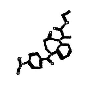 CCOC(=O)C(C)N1C(=O)CCN(C(=O)c2ccc([N+](=O)[O-])cc2)c2ccccc21